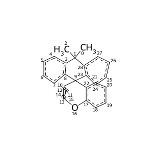 CC1(C)c2ccccc2C2(c3ccccc3Oc3ccccc32)c2ccccc21